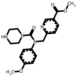 COC(=O)c1ccc(CN(C(=O)N2CCNCC2)c2ccc(OC)cc2)nc1